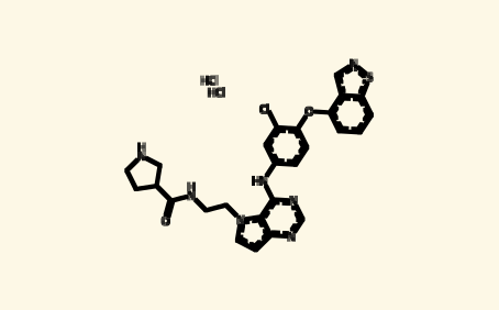 Cl.Cl.O=C(NCCn1ccc2ncnc(Nc3ccc(Oc4cccc5sncc45)c(Cl)c3)c21)C1CCNC1